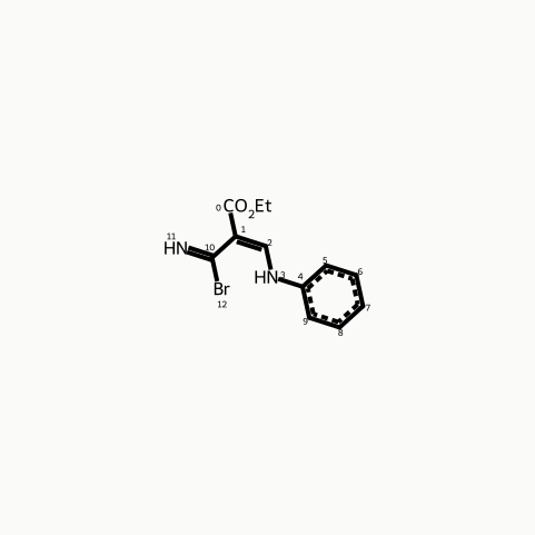 CCOC(=O)/C(=C/Nc1ccccc1)C(=N)Br